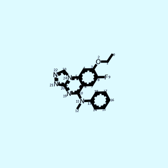 CCOc1cc2c(cc1F)c(N(C)c1ccccc1)nc1nncn12